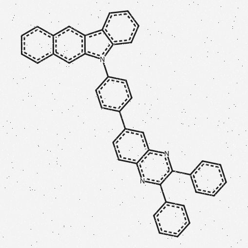 c1ccc(-c2nc3ccc(-c4ccc(-n5c6ccccc6c6cc7ccccc7cc65)cc4)cc3nc2-c2ccccc2)cc1